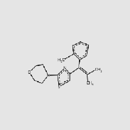 CC(C)=C(c1csc(N2CCOCC2)n1)c1ccccc1C